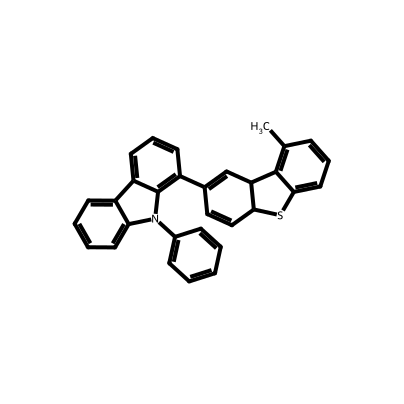 Cc1cccc2c1C1C=C(c3cccc4c5ccccc5n(-c5ccccc5)c34)C=CC1S2